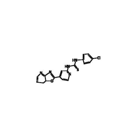 S=C(Nc1ccc(Cl)cc1)Nc1cc(C2=NC3=NC=CCC3O2)ccn1